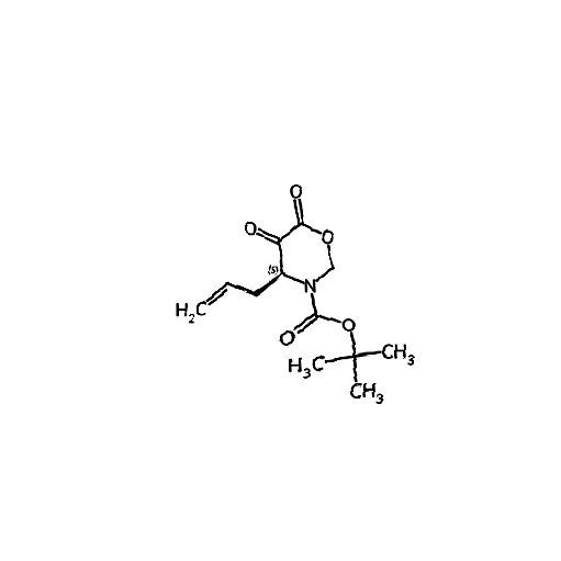 C=CC[C@H]1C(=O)C(=O)OCN1C(=O)OC(C)(C)C